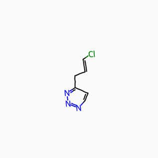 ClC=CCc1ccnnn1